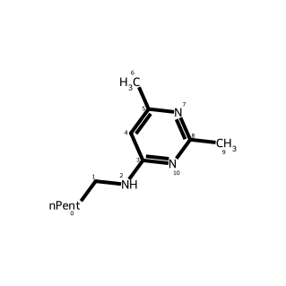 CCCCCCNc1cc(C)nc(C)n1